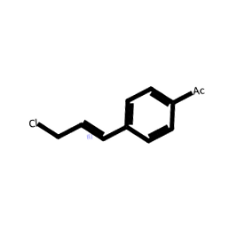 CC(=O)c1ccc(/C=C/CCl)cc1